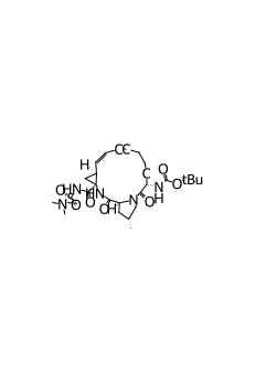 C[C@@H]1C[C@H]2C(=O)N[C@]3(C(=O)NS(=O)(=O)N(C)C)C[C@H]3/C=C\CCCCC[C@H](NC(=O)OC(C)(C)C)C(=O)N2C1